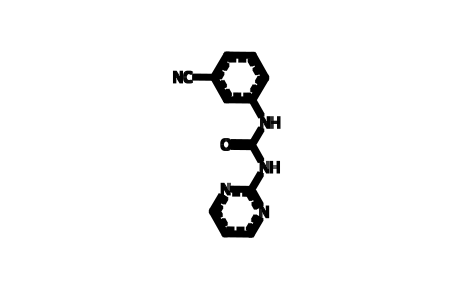 N#Cc1cccc(NC(=O)Nc2ncccn2)c1